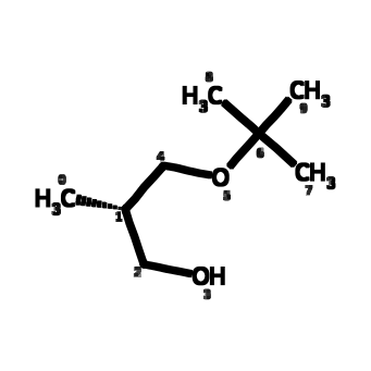 C[C@@H](CO)COC(C)(C)C